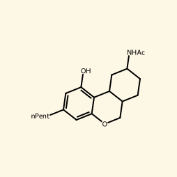 CCCCCc1cc(O)c2c(c1)OCC1CCC(NC(C)=O)CC21